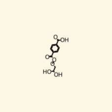 O=C(O)c1ccc(C(=O)OOCC(O)O)cc1